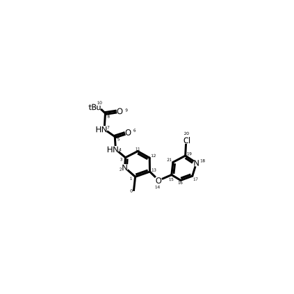 Cc1nc(NC(=O)NC(=O)C(C)(C)C)ccc1Oc1ccnc(Cl)c1